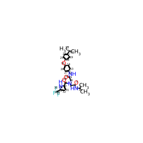 CC(C)NC(=O)CN(CC(=O)Nc1ccc(Oc2ccc(C(C)C)cc2)cc1)C(=O)c1ccc(C(F)(F)F)[nH]1